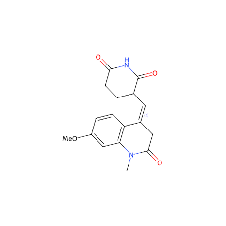 COc1ccc2c(c1)N(C)C(=O)C/C2=C/C1CCC(=O)NC1=O